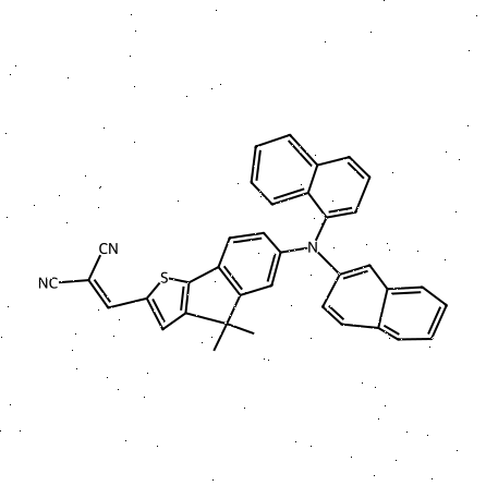 CC1(C)c2cc(N(c3ccc4ccccc4c3)c3cccc4ccccc34)ccc2-c2sc(C=C(C#N)C#N)cc21